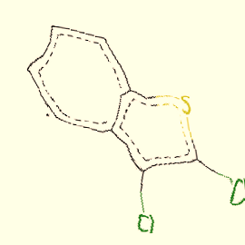 Clc1sc2ccc[c]c2c1Cl